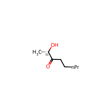 CCCCCC(=O)[C@H](C)O